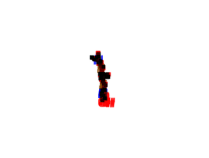 CCCCCCN(CCCCCC)C1C=CC(/C=C/C2CC=C(C#Cc3ccc4c(c3)C(CCCC)(CCCC)c3cc(C#Cc5ccc(/C=C/c6ccc(N(CC)CCOc7ccc(O)cc7)cc6)s5)ccc3-4)S2)=CC1